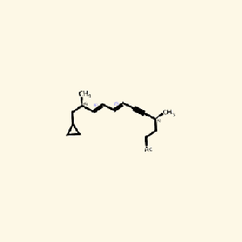 CC(=O)CC[C@H](C)C#C/C=C/C=C/[C@H](C)CC1CC1